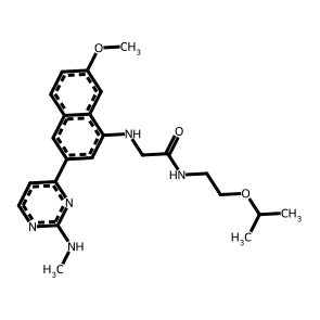 CNc1nccc(-c2cc(NCC(=O)NCCOC(C)C)c3cc(OC)ccc3c2)n1